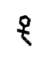 O=C=NS(=O)(=O)c1cccnc1